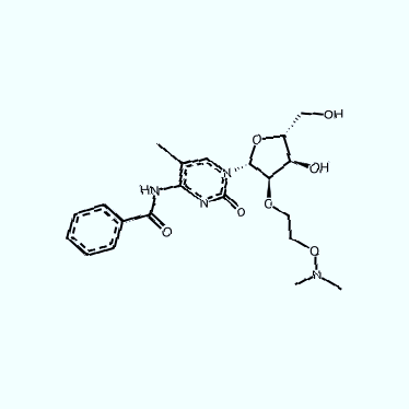 Cc1cn([C@@H]2O[C@H](CO)[C@@H](O)[C@H]2OCCON(C)C)c(=O)nc1NC(=O)c1ccccc1